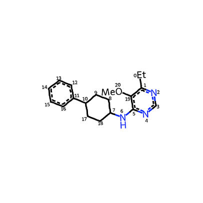 CCc1ncnc(NC2CCC(c3ccccc3)CC2)c1OC